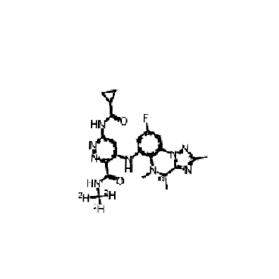 [2H]C([2H])([2H])NC(=O)c1nnc(NC(=O)C2CC2)cc1Nc1cc(F)cc2c1N(C)[C@H](C)c1nc(C)nn1-2